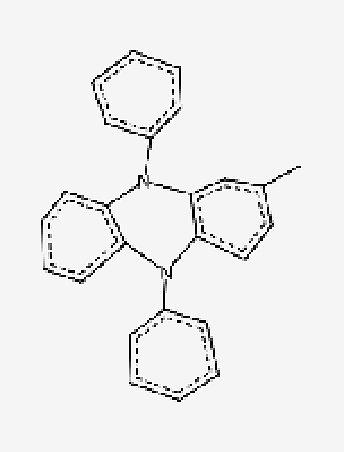 Cc1ccc2c(c1)N(c1ccccc1)c1ccccc1N2c1ccccc1